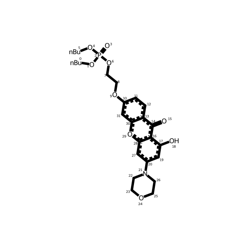 CCCCOP(=O)(OCCCC)OCCOc1ccc2c(=O)c3c(O)cc(N4CCOCC4)cc3oc2c1